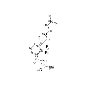 C[C@@H](N[S+]([O-])C(C)(C)C)c1cccc(C(F)(F)COCCN(C)C)c1F